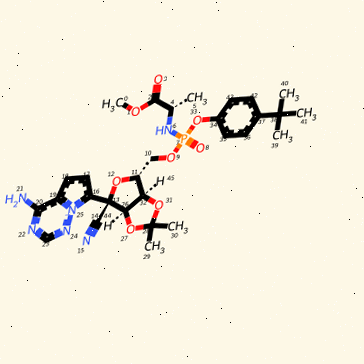 COC(=O)[C@H](C)NP(=O)(OC[C@H]1O[C@@](C#N)(c2ccc3c(N)ncnn23)[C@@H]2OC(C)(C)O[C@@H]21)Oc1ccc(C(C)(C)C)cc1